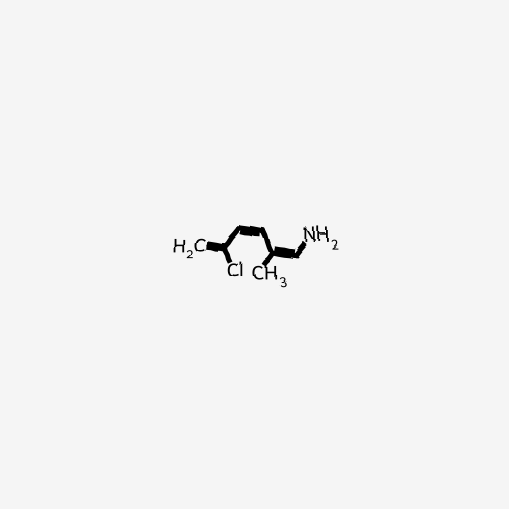 C=C(Cl)/C=C\C(C)=C/N